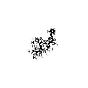 CCC(C)[C@@H]([C@@H](CC(=O)N1C[C@@H](O)C[C@H]1[C@H](OC)[C@@H](C)C(=O)NCCc1c(F)cccc1F)OC)N(C)C(=O)[C@@H](NC(=O)[C@H](C(C)C)N(C)C)C(C)C